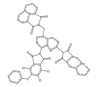 O=C1c2cc3ccccc3cc2C(=O)C1c1ccc2c(CN3C(=O)c4cccc5cccc(c45)C3=O)ccc(N3C(=O)c4c(Cl)c(Cl)c(Sc5ccccc5)c(Cl)c4C3=O)c2n1